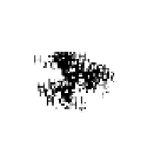 Cc1c(Cc2cc(C(C)(C)C)cc(C(C)(C)C)c2)c(C)c(Cc2cc(C(C)(C)C)c(O)c(C(C)(C)C)c2)c(C)c1Cc1cc(C(C)(C)C)c(O)c(C(C)(C)C)c1